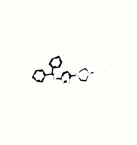 O=C(O)N1CCN(c2ccc(N=C(c3ccccc3)c3ccccc3)nn2)CC1